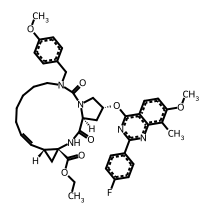 CCOC(=O)[C@@]12C[C@@H]1/C=C\CCCCCN(Cc1ccc(OC)cc1)C(=O)N1C[C@H](Oc3nc(-c4ccc(F)cc4)nc4c(C)c(OC)ccc34)C[C@H]1C(=O)N2